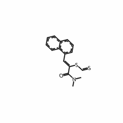 CN(C)C(=O)/C(=C/c1cccc2ccccc12)SC=S